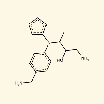 CC(C(O)CN)N(c1ccc(CN)cc1)c1cccs1